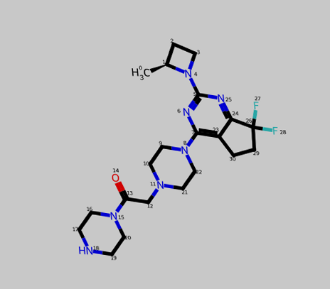 C[C@H]1CCN1c1nc(N2CCN(CC(=O)N3CCNCC3)CC2)c2c(n1)C(F)(F)CC2